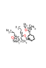 C=C[SiH](C)O[SiH3].C=C[SiH](CCC(F)(F)F)O[SiH3].C=C[SiH](O[SiH3])c1ccccc1